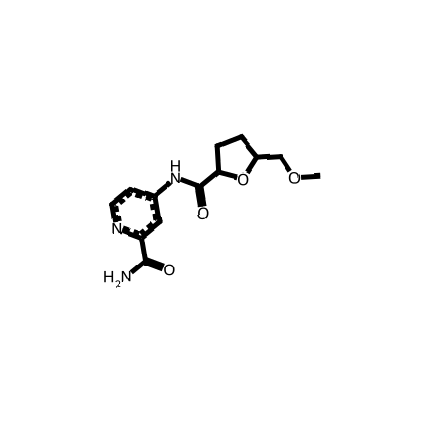 COCC1CCC(C(=O)Nc2ccnc(C(N)=O)c2)O1